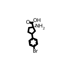 N[C@@]1(C(=O)O)CCC(c2ccc(Br)cc2)C1